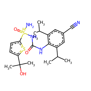 CC(C)c1cc(C#N)cc(C(C)C)c1NC(=O)N[SH](N)(=O)c1ccc(C(C)(C)O)s1